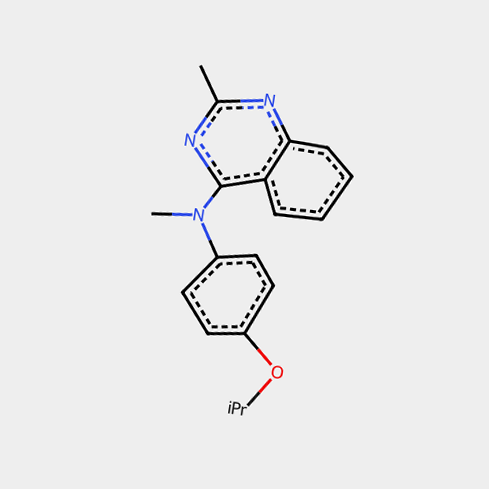 Cc1nc(N(C)c2ccc(OC(C)C)cc2)c2ccccc2n1